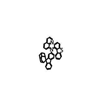 c1ccc2c(c1)-c1ccc(N(c3cccc4cccnc34)c3cccc4sc5ccccc5c34)cc1C21C2CC3CC(C2)CC1C3